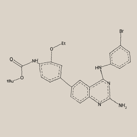 CCOc1cc(-c2ccc3nc(N)nc(Nc4cccc(Br)c4)c3c2)ccc1NC(=O)OC(C)(C)C